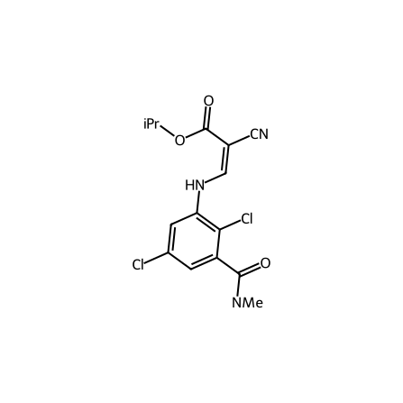 CNC(=O)c1cc(Cl)cc(NC=C(C#N)C(=O)OC(C)C)c1Cl